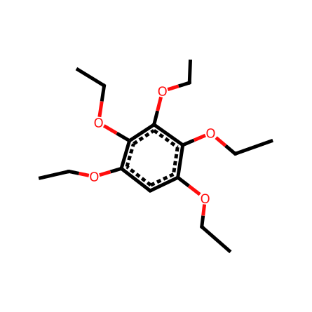 CCOc1cc(OCC)c(OCC)c(OCC)c1OCC